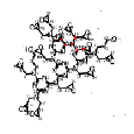 OCCCN(CC1CO1)c1nc(N(CC2CO2)CC2CO2)nc(N(CC2CO2)c2nc(N(CC3CO3)c3nc(N(CCCO)CC4CO4)nc(N(CC4CO4)CC4CO4)n3)nc(N(CC3CO3)c3nc(N(CC4CO4)CC4CO4)nc(N(CC4CO4)CC4CO4)n3)n2)n1